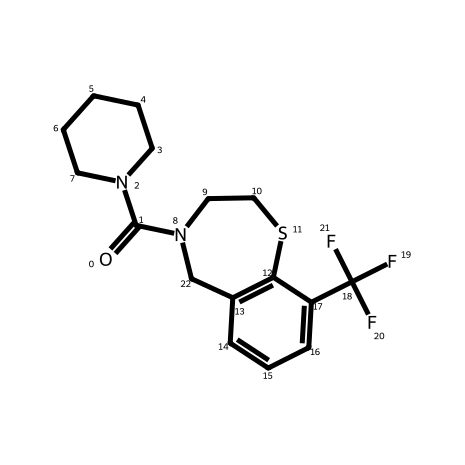 O=C(N1CCCCC1)N1CCSc2c(cccc2C(F)(F)F)C1